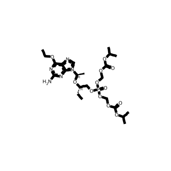 CCOc1nc(N)nc2c1ncn2[C@@H](C)O[C@@H](CC)COP(=O)(OCOC(=O)OC(C)C)OCOC(=O)OC(C)C